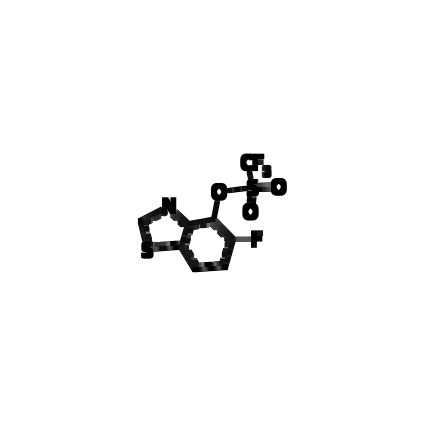 O=S(=O)(Oc1c(F)ccc2scnc12)C(F)(F)F